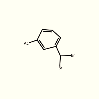 CC(=O)c1cccc(C(Br)Br)c1